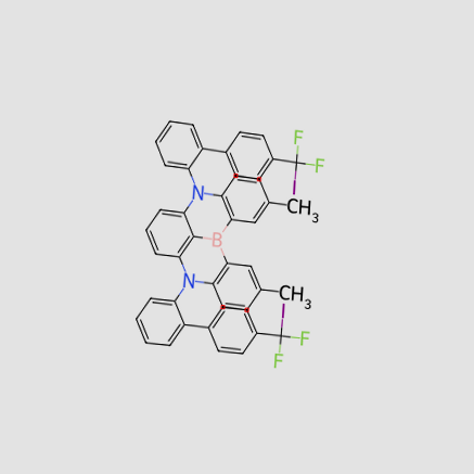 Cc1ccc2c(c1)B1c3cc(C)ccc3N(c3ccccc3-c3ccc(C(F)(F)I)cc3)c3cccc(c31)N2c1ccccc1-c1ccc(C(F)(F)I)cc1